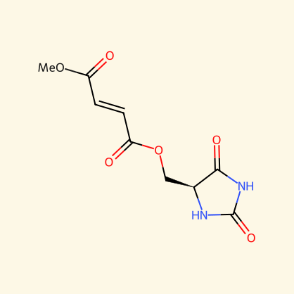 COC(=O)/C=C/C(=O)OC[C@@H]1NC(=O)NC1=O